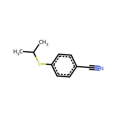 CC(C)Sc1ccc(C#N)cc1